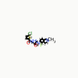 CN1CCc2c(ccc(N3CO[C@@H](CNC(=O)c4ccc(Cl)s4)C3)c2F)C1